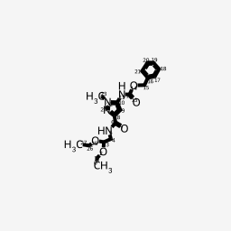 CCOC(CNC(=O)c1cc(NC(=O)OCc2ccccc2)n(C)n1)OCC